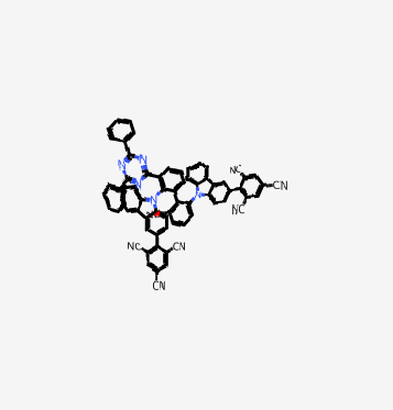 N#Cc1cc(C#N)c(-c2ccc3c(c2)c2ccccc2n3-c2cccc(C#N)c2-c2cccc(-c3nc(-c4ccccc4)nc(-c4ccccc4)n3)c2-n2c3ccccc3c3cc(-c4c(C#N)cc(C#N)cc4C#N)ccc32)c(C#N)c1